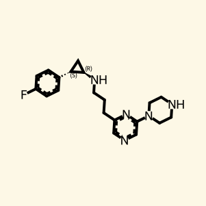 Fc1ccc([C@@H]2C[C@H]2NCCCc2cncc(N3CCNCC3)n2)cc1